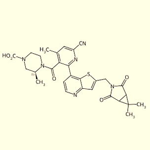 Cc1cc(C#N)nc(-c2ccnc3cc(CN4C(=O)C5C(C4=O)C5(C)C)sc23)c1C(=O)N1CCN(C(=O)O)C[C@@H]1C